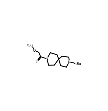 CC(C)(C)OCC(=O)N1CCC2(CC1)CCN(C(C)(C)C)CC2